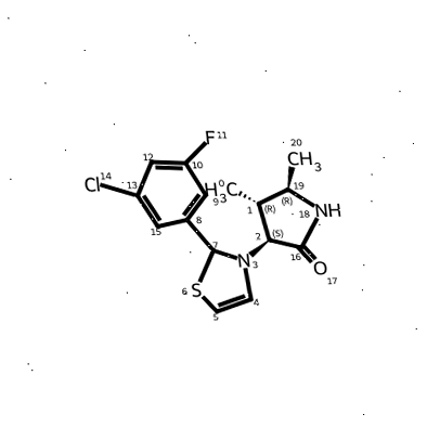 C[C@H]1[C@H](N2C=CSC2c2cc(F)cc(Cl)c2)C(=O)N[C@@H]1C